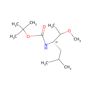 COC(C)[C@H](CC(C)C)NC(=O)OC(C)(C)C